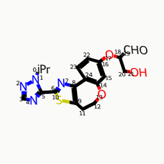 CC(C)n1ncnc1-c1nc2c(s1)CCOc1cc(OC(C=O)CO)ccc1-2